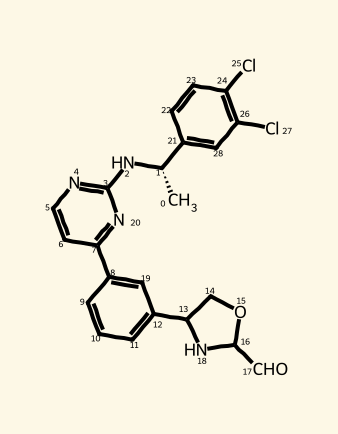 C[C@H](Nc1nccc(-c2cccc(C3COC(C=O)N3)c2)n1)c1ccc(Cl)c(Cl)c1